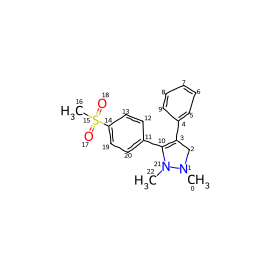 CN1CC(c2ccccc2)=C(c2ccc(S(C)(=O)=O)cc2)N1C